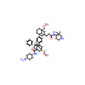 CCOC[C@@]12CCC[C@@](c3ccc(C45CC6(C(=O)N[C@H]7CC[C@@H](N)CC7)C[C@](COCC)(C4)C[C@@](c4ccccc4)(C6)C5)cc3)(CC(CCC(=O)NC3CCNCC3(C)C)C1)C2